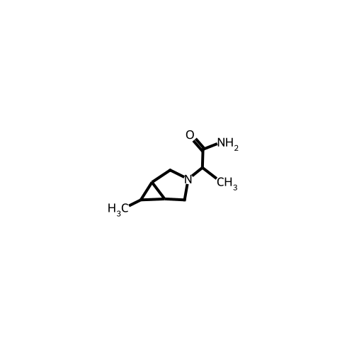 CC1C2CN(C(C)C(N)=O)CC12